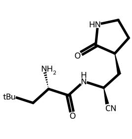 CC(C)(C)C[C@H](N)C(=O)N[C@H](C#N)C[C@@H]1CCNC1=O